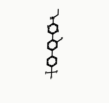 CCNc1cnc(-c2ccc(-c3ccc(C(F)(F)F)cc3)cc2F)cn1